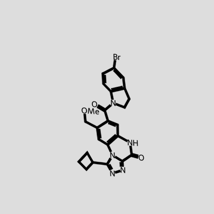 COCc1cc2c(cc1C(=O)N1CCc3cc(Br)ccc31)[nH]c(=O)c1nnc(C3CCC3)n12